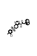 Cc1ccc(S(=O)(=O)N2CCc3c(ncnc3NC(=O)CC34CC5CC(CC(C5)C3)C4)C2)cc1Cl